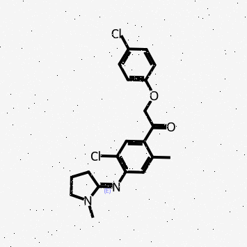 Cc1cc(/N=C2\CCCN2C)c(Cl)cc1C(=O)COc1ccc(Cl)cc1